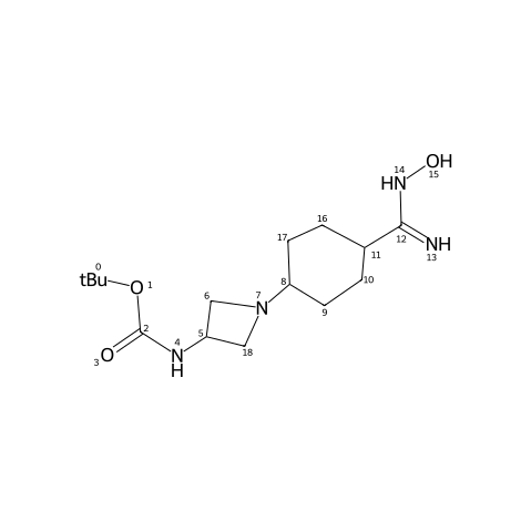 CC(C)(C)OC(=O)NC1CN(C2CCC(C(=N)NO)CC2)C1